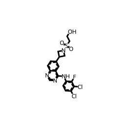 O=S(=O)(CCO)N1CC(c2ccc3ncnc(Nc4ccc(Cl)c(Cl)c4F)c3c2)C1